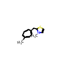 CC1=CC=C(CC2SC=CN2C)C=CC1